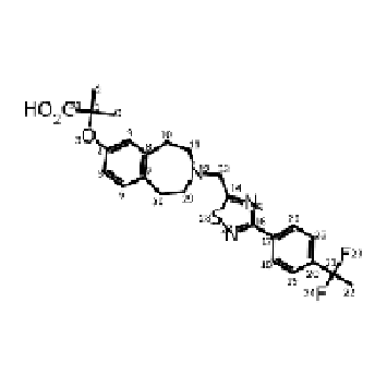 CC(C)(Oc1ccc2c(c1)CCN(Cc1nc(-c3ccc(C(C)(F)F)cc3)ns1)CC2)C(=O)O